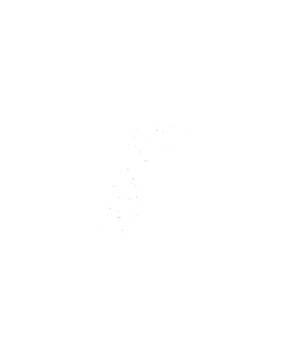 Cc1coc2cc3nc(CCc4coc5cc6ncoc6cc45)oc3cc12